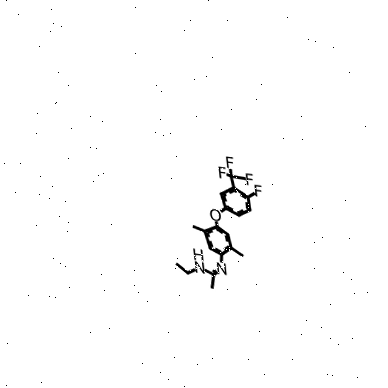 CCNC(C)=Nc1cc(C)c(Oc2ccc(F)c(C(F)(F)F)c2)cc1C